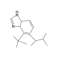 CC(C)C(C)C1=C(C(C)(C)C)C2N=CNC2C=C1